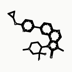 CN1CCC(n2c(=O)n(C)c3cnc4ccc(-c5ccc(OC6CC6)nc5)cc4c32)C(F)(F)C1